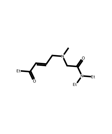 CCC(=O)/C=C/CN(C)CC(=O)N(CC)CC